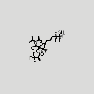 C=C(C(=O)OC(OCCCCC(F)(F)C(F)(F)S)(C(=O)N(C(C)C)C(C)C)C(F)(F)F)C(F)(F)F